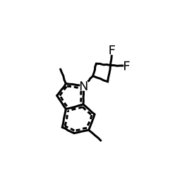 Cc1ccc2cc(C)n(C3CC(F)(F)C3)c2c1